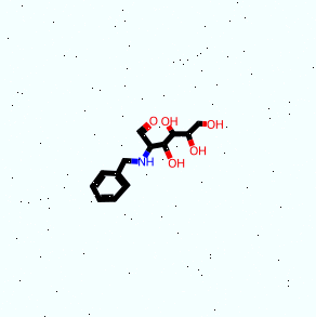 O=CC(NCc1ccccc1)C(O)C(O)C(O)CO